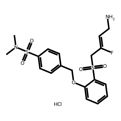 CN(C)S(=O)(=O)c1ccc(COc2ccccc2S(=O)(=O)CC(F)=CCN)cc1.Cl